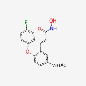 CC(=O)Nc1ccc(Oc2ccc(F)cc2)c(C=CC(=O)NO)c1